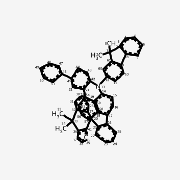 CC1(C)c2ccccc2-c2ccc(N(c3ccc4c(c3)C3(c5ccccc5-4)c4ccccc4C(C)(C)c4ccccc43)c3ccc(-c4ccccc4)cc3-c3ccccc3)cc21